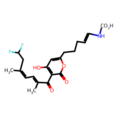 CC(=CC=C(C)C(=O)c1c(O)cc(CCCC=CNC(=O)O)oc1=O)CC(F)F